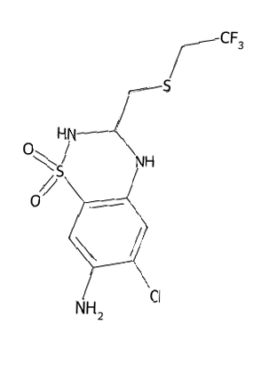 Nc1cc2c(cc1Cl)NC(CSCC(F)(F)F)NS2(=O)=O